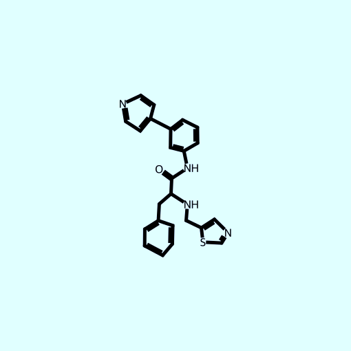 O=C(Nc1cccc(-c2ccncc2)c1)C(Cc1ccccc1)NCc1cncs1